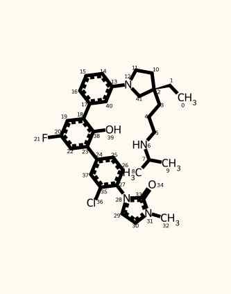 CC[C@]1(CCCNC(C)C)CCN(c2cccc(-c3cc(F)cc(-c4ccc(-n5ccn(C)c5=O)c(Cl)c4)c3O)c2)C1